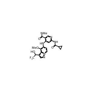 CNC(=O)c1cnc(NC(=O)C2CC2)cc1Nc1ccn2ncc(C(O)C(F)(F)F)c2c1OC